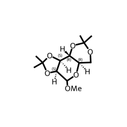 COC1O[C@@H]2COC(C)(C)O[C@H]2[C@@H]2OC(C)(C)O[C@H]12